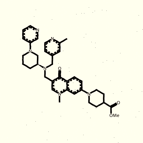 COC(=O)C1CCN(c2ccc3c(=O)c(CN(Cc4ccnc(C)c4)[C@H]4CCCN(c5cccnc5)C4)cn(C)c3c2)CC1